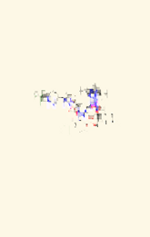 CCOc1ccc(Cl)cc1-n1c(CC(C)C)c(C(=O)N2C[C@H]3CC[C@@H](C2)N3)cc(-c2nc(-c3ccc(C(F)(F)F)nc3)cs2)c1=O